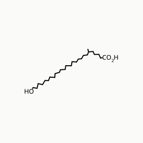 CC(CCCCCCCCCCCCCCCCCCCCO)CCCCC(=O)O